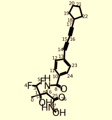 C[C@@](O)(C(F)F)[C@H](NC(=O)c1ccc(C#CC#CC2CCCC2)cc1)C(=O)NO